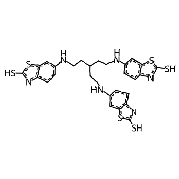 Sc1nc2ccc(NCCC(CCNc3ccc4nc(S)sc4c3)CCNc3ccc4nc(S)sc4c3)cc2s1